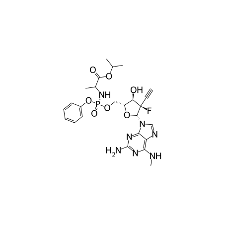 C#C[C@@]1(F)[C@H](O)[C@@H](CO[P@](=O)(NC(C)C(=O)OC(C)C)Oc2ccccc2)O[C@H]1n1cnc2c(NC)nc(N)nc21